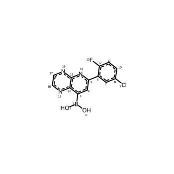 OB(O)c1cc(-c2cc(Cl)ccc2F)nc2nccnc12